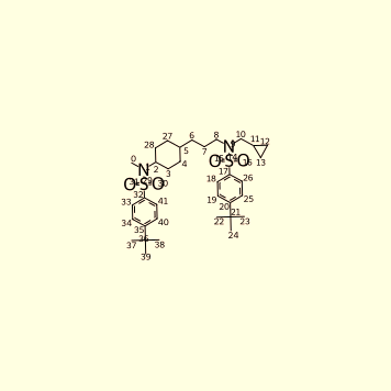 CN(C1CCC(CCCN(CC2CC2)S(=O)(=O)c2ccc(C(C)(C)C)cc2)CC1)S(=O)(=O)c1ccc(C(C)(C)C)cc1